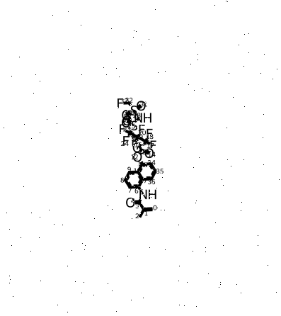 C=C(C)C(=O)Nc1cccc2c(OS(=O)(=O)C(F)(F)C(F)(F)C(F)(F)S(=O)(=O)NS(=O)(=O)CF)cccc12